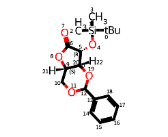 CC(C)(C)[Si](C)(C)O[C@H]1C(=O)O[C@H]2COC(c3ccccc3)O[C@H]21